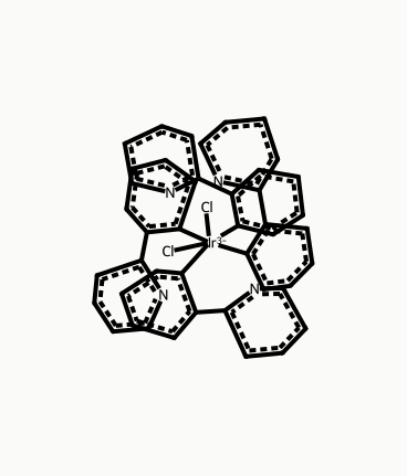 [Cl][Ir-3]([Cl])([c]1ccccc1-c1ccccn1)([c]1ccccc1-c1ccccn1)([c]1ccccc1-c1ccccn1)[c]1ccccc1-c1ccccn1